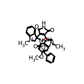 COc1ccc2c(C3=C(C4(N(C)C(=O)OCc5ccccc5)CN(C)c5ccccc54)C(=O)NC3=O)cn(C)c2c1